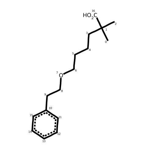 CC(C)(CCCCOCCc1ccccc1)C(=O)O